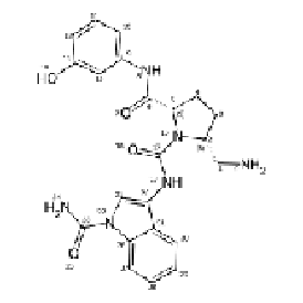 NC[C@H]1CC[C@@H](C(=O)Nc2cccc(O)c2)N1C(=O)Nc1cn(C(N)=O)c2ccccc12